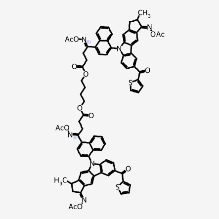 CC(=O)ON=C1CC(C)c2cc3c(cc21)c1cc(C(=O)c2cccs2)ccc1n3-c1ccc(/C(CCC(=O)OCCCCOC(=O)CC/C(=N\OC(C)=O)c2ccc(-n3c4ccc(C(=O)c5cccs5)cc4c4cc5c(cc43)CC(C)C5=NOC(C)=O)c3ccccc23)=N/OC(C)=O)c2ccccc12